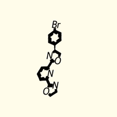 Brc1ccc([C@H]2COC(c3cccc(C4=NCCO4)n3)=N2)cc1